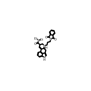 CCN(CC)C(=O)C1C=C2c3cccc4[nH]cc(c34)C[C@H]2N(CCCN2C(=O)c3ccccc3C2=O)C1